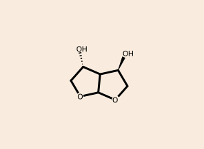 O[C@H]1COC2OC[C@H](O)C21